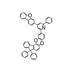 c1ccc(-c2cc(-c3ccc4c(c3)oc3ccccc34)cc(-c3ccc4c(c3)Oc3c(ccc5c3-c3ccccc3C5(c3ccccc3)c3ccccc3)O4)n2)cc1